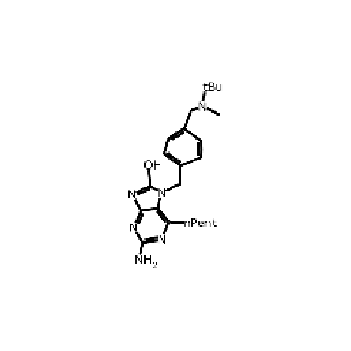 CCCCCc1nc(N)nc2nc(O)n(Cc3ccc(CN(C)C(C)(C)C)cc3)c12